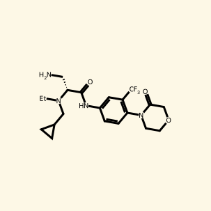 CCN(CC1CC1)[C@H](CN)C(=O)Nc1ccc(N2CCOCC2=O)c(C(F)(F)F)c1